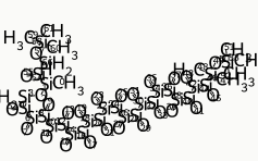 C[SiH](O[SiH2][Si](=O)[Si](=O)[Si](=O)[Si](=O)[Si](=O)[Si](=O)[Si](=O)[Si](=O)[Si](=O)[Si](=O)[Si](=O)[Si](=O)[Si](=O)[Si](=O)[Si](=O)[Si](=O)[Si](=O)[Si](=O)[Si](=O)[Si](=O)[Si](=O)[Si](C)(C)O[Si](C)(C)C)[Si](=O)[SiH2]O[Si](C)(C)C